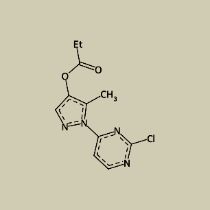 CCC(=O)Oc1cnn(-c2ccnc(Cl)n2)c1C